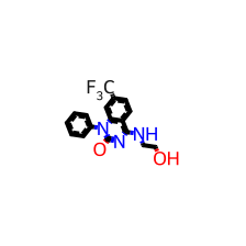 O=c1nc(NCCO)c2ccc(C(F)(F)F)cc2n1-c1ccccc1